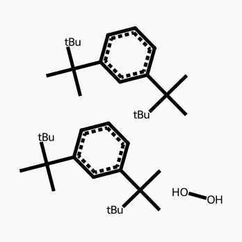 CC(C)(C)C(C)(C)c1cccc(C(C)(C)C(C)(C)C)c1.CC(C)(C)C(C)(C)c1cccc(C(C)(C)C(C)(C)C)c1.OO